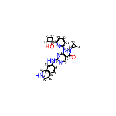 O=c1c2cnc(Nc3ccc4c(c3)CNCC4)nc2n(-c2cccc(C3(O)CCC3)n2)n1C1CC1